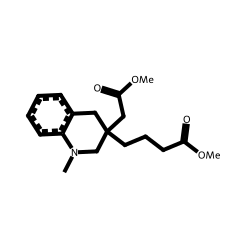 COC(=O)CCCC1(CC(=O)OC)Cc2ccccc2N(C)C1